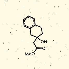 COC(=O)CC1(O)CCc2ccccc2C1